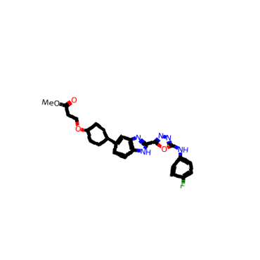 COC(=O)CCOC1CCC(c2ccc3[nH]c(-c4nnc(Nc5ccc(F)cc5)o4)nc3c2)CC1